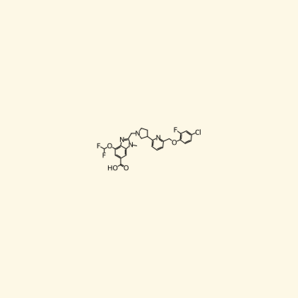 Cn1c(CN2CCC(c3cccc(COc4ccc(Cl)cc4F)n3)C2)nc2c(OC(F)F)cc(C(=O)O)cc21